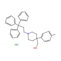 Cc1ccc(C2(CO)CCN(CCC(c3ccccc3)(c3ccccc3)c3ccccc3)CC2)cc1.Cl